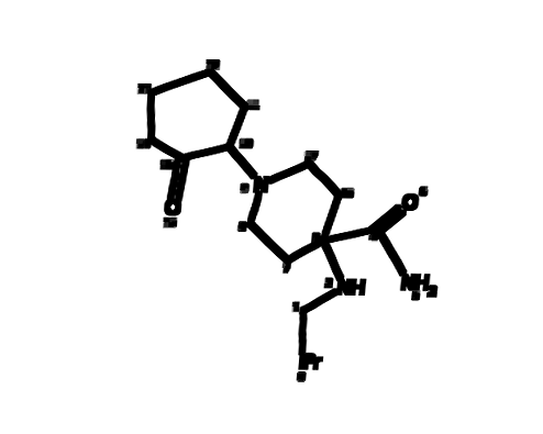 CC(C)CNC1(C(N)=O)CCN(C2CCCCC2=O)CC1